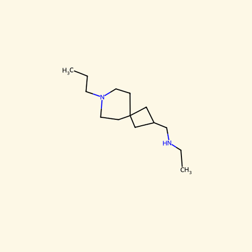 CCCN1CCC2(CC1)CC(CNCC)C2